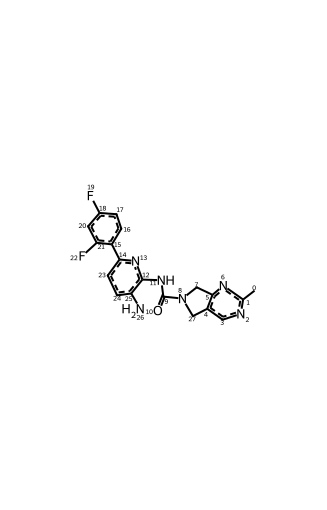 Cc1ncc2c(n1)CN(C(=O)Nc1nc(-c3ccc(F)cc3F)ccc1N)C2